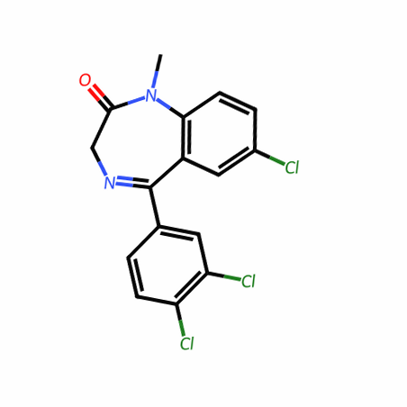 CN1C(=O)CN=C(c2ccc(Cl)c(Cl)c2)c2cc(Cl)ccc21